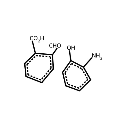 Nc1ccccc1O.O=Cc1ccccc1C(=O)O